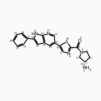 N[C@H]1CCN(C(=O)c2ncc(-c3cnc4[nH]c(-c5ccccc5)cc4c3)s2)C1